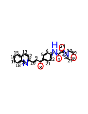 O=C(Nc1ccc(C(=O)/C=C/c2ccc3ccccc3n2)cc1)C(=O)N1CCOCC1